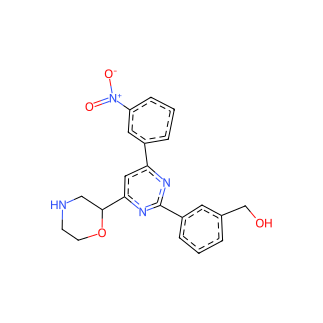 O=[N+]([O-])c1cccc(-c2cc(C3CNCCO3)nc(-c3cccc(CO)c3)n2)c1